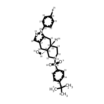 CC(C)(C)c1ccc(S(=O)(=O)N2CC[C@H]3Cc4c(cnn4-c4ccc(F)cc4)C[C@]3(C=O)C2)cc1